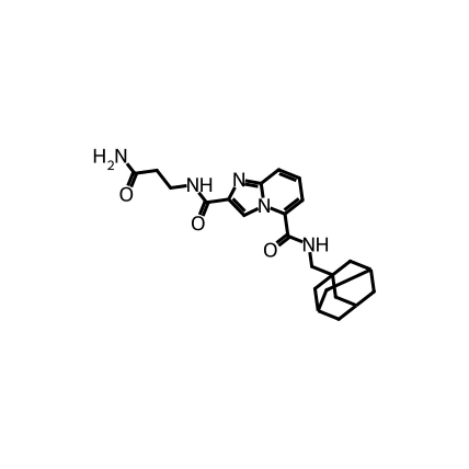 NC(=O)CCNC(=O)c1cn2c(C(=O)NCC34CC5CC(CC(C5)C3)C4)cccc2n1